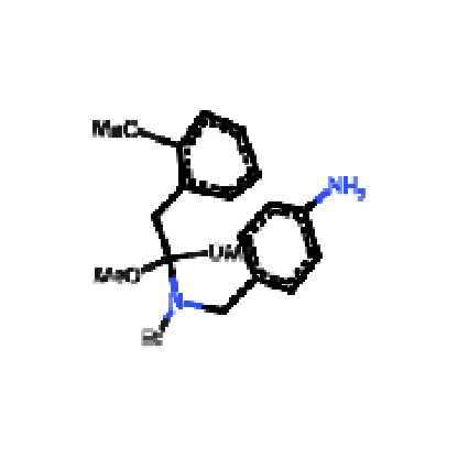 CCN(Cc1ccc(N)cc1)C(Cc1ccccc1OC)(OC)OC